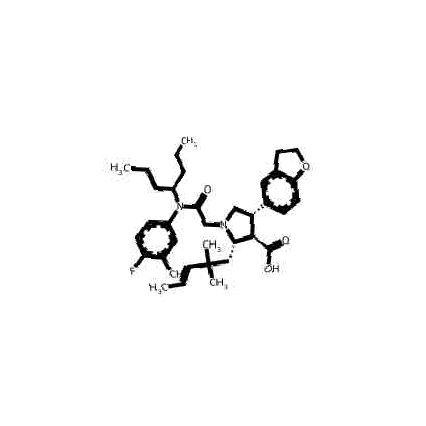 C/C=C/C(C)(C)C[C@H]1[C@H](C(=O)O)[C@@H](c2ccc3c(c2)CCO3)CN1CC(=O)N(c1ccc(F)c(C)c1)C(CCC)CCC